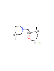 C[C@@H]1CCCN(C[C@@H]2OC[C@@H](F)C[C@@H]2C)C1